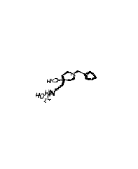 O=C(O)NCC1(O)CCN(Cc2ccccc2)CC1